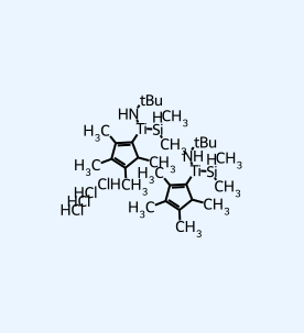 CC1=C(C)C(C)[C]([Ti]([NH]C(C)(C)C)[SiH](C)C)=C1C.CC1=C(C)C(C)[C]([Ti]([NH]C(C)(C)C)[SiH](C)C)=C1C.Cl.Cl.Cl.Cl